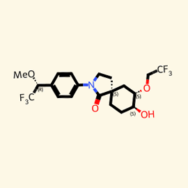 CO[C@H](c1ccc(N2CC[C@]3(CC[C@H](O)[C@@H](OCC(F)(F)F)C3)C2=O)cc1)C(F)(F)F